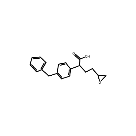 O=C(O)C(CCC1CO1)c1ccc(Cc2ccccc2)cc1